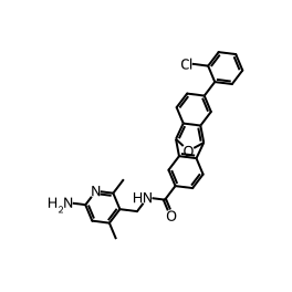 Cc1cc(N)nc(C)c1CNC(=O)c1ccc2c(c1)c1oc2c2cc(-c3ccccc3Cl)ccc21